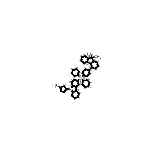 CC1=CC=C(n2c3ccccc3c3cc([Si](C4=CC=CCC4)(c4ccc(-c5cccc6c5-c5ccccc5C6(C)C)cc4)C4C=CC=CC4)ccc32)C1